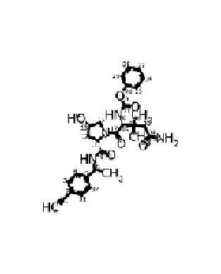 C#Cc1ccc([C@H](C)NC(=O)[C@@H]2C[C@@H](O)CN2C(=O)[C@H](NC(=O)Oc2ccccc2)C(C)(C)CC(N)=O)cc1